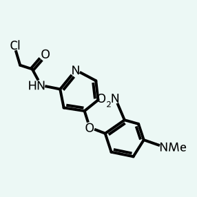 CNc1ccc(Oc2ccnc(NC(=O)CCl)c2)c([N+](=O)[O-])c1